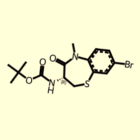 CN1C(=O)[C@@H](NC(=O)OC(C)(C)C)CSc2cc(Br)ccc21